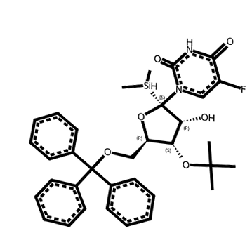 C[SiH](C)[C@@]1(n2cc(F)c(=O)[nH]c2=O)O[C@H](COC(c2ccccc2)(c2ccccc2)c2ccccc2)[C@@H](OC(C)(C)C)[C@H]1O